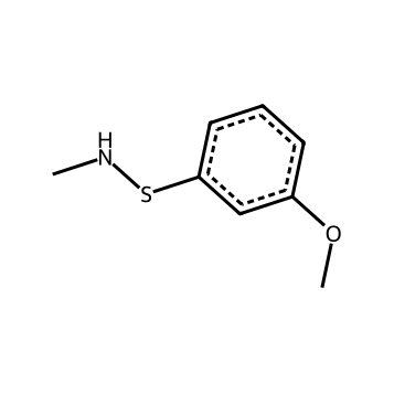 CNSc1cccc(OC)c1